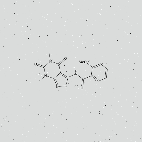 COc1ccccc1C(=O)Nc1onc2c1c(=O)n(C)c(=O)n2C